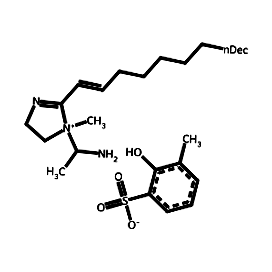 CCCCCCCCCCCCCCCC=CC1=NCC[N+]1(C)C(C)N.Cc1cccc(S(=O)(=O)[O-])c1O